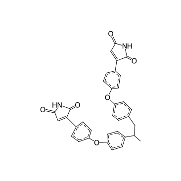 CC(Cc1ccc(Oc2ccc(C3=CC(=O)NC3=O)cc2)cc1)c1ccc(Oc2ccc(C3=CC(=O)NC3=O)cc2)cc1